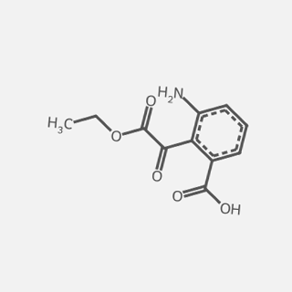 CCOC(=O)C(=O)c1c(N)cccc1C(=O)O